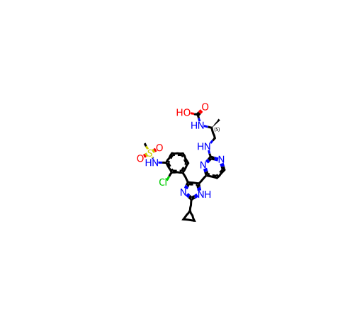 C[C@@H](CNc1nccc(-c2[nH]c(C3CC3)nc2-c2cccc(NS(C)(=O)=O)c2Cl)n1)NC(=O)O